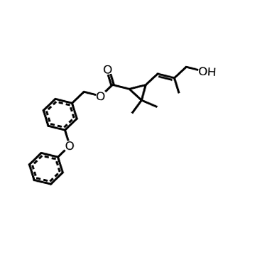 C/C(=C\C1C(C(=O)OCc2cccc(Oc3ccccc3)c2)C1(C)C)CO